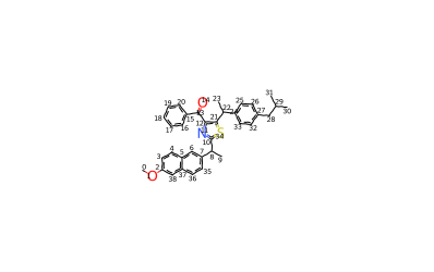 COc1ccc2cc(C(C)c3nc(C(=O)c4ccccc4)c(C(C)c4ccc(CC(C)C)cc4)s3)ccc2c1